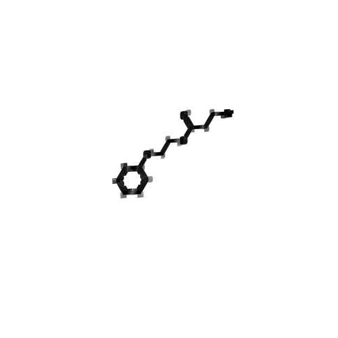 O=C(CCBr)OCCOc1ccccc1